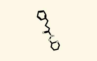 O=C(CCCc1ccccc1)NOC1CCCCO1